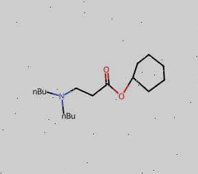 CCCCN(CCCC)CCC(=O)OC1CCCCC1